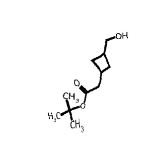 CC(C)(C)OC(=O)CC1CC(CO)C1